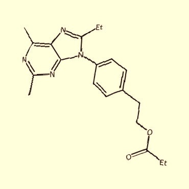 CCC(=O)OCCc1ccc(-n2c(CC)nc3c(C)nc(C)nc32)cc1